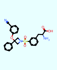 N#Cc1cccc(OC2(c3ccccc3)CN(S(=O)(=O)c3cccc(C[C@H](N)C(=O)O)c3)C2)c1